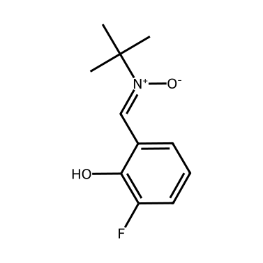 CC(C)(C)[N+]([O-])=Cc1cccc(F)c1O